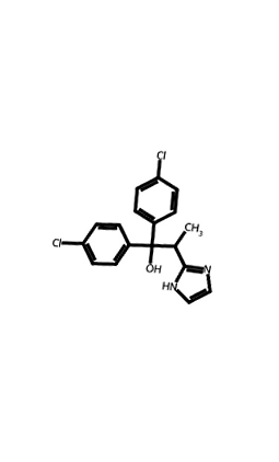 CC(c1ncc[nH]1)C(O)(c1ccc(Cl)cc1)c1ccc(Cl)cc1